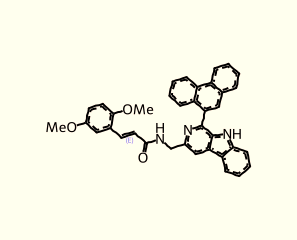 COc1ccc(OC)c(/C=C/C(=O)NCc2cc3c([nH]c4ccccc43)c(-c3cc4ccccc4c4ccccc34)n2)c1